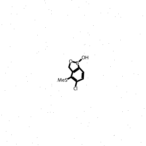 CSc1c(Cl)ccc2c1COB2O